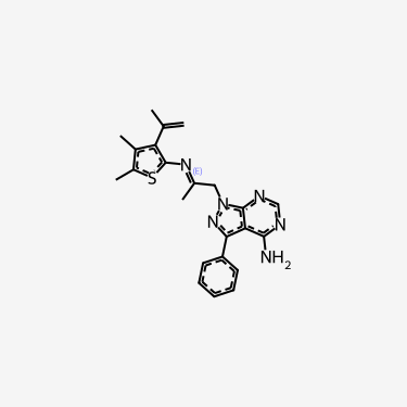 C=C(C)c1c(/N=C(\C)Cn2nc(-c3ccccc3)c3c(N)ncnc32)sc(C)c1C